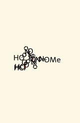 COCCN1CCN(C[C@@H]2Cc3ccccc3CN2C(=O)c2cc3c(cc2-c2cc(C(=O)N(c4ccccc4)c4ccc(O)cc4)c4n2CCCC4)OCO3)CC1.Cl.Cl